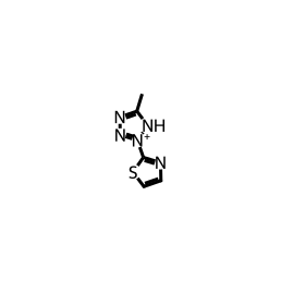 Cc1nn[n+](-c2nccs2)[nH]1